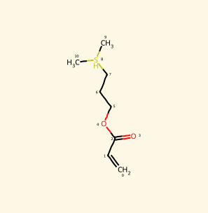 C=CC(=O)OCCC[SH](C)C